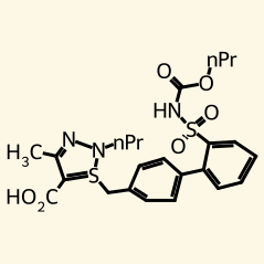 CCCOC(=O)NS(=O)(=O)c1ccccc1-c1ccc(CS2=C(C(=O)O)C(C)=NN2CCC)cc1